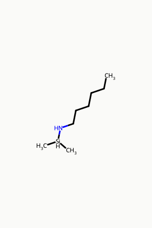 CCCCCCN[SiH](C)C